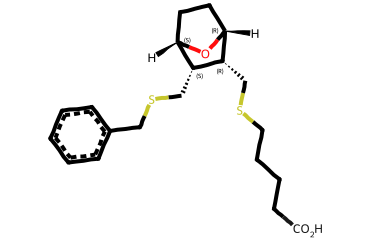 O=C(O)CCCCSC[C@@H]1[C@H](CSCc2ccccc2)[C@@H]2CC[C@H]1O2